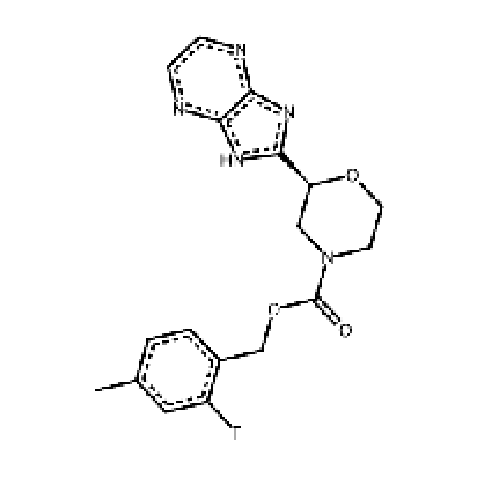 Cc1ccc(COC(=O)N2CCO[C@H](c3nc4nccnc4[nH]3)C2)c(F)c1